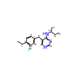 CCc1ccc(Cc2cncnc2NC(C)CC)cc1F